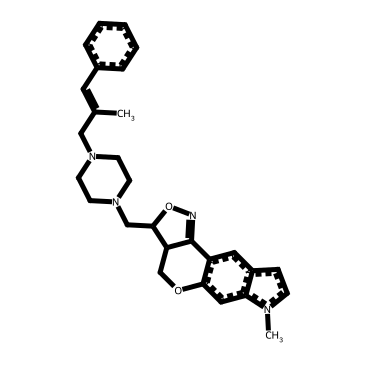 C/C(=C\c1ccccc1)CN1CCN(CC2ON=C3c4cc5ccn(C)c5cc4OCC32)CC1